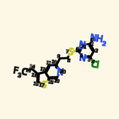 Nc1cc(Cl)nc(SCCc2cc3c(CC(F)(F)F)csc3cn2)n1